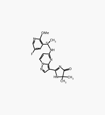 COc1ncc(F)cc1[C@@H](C)Nc1ccn2ncc(C3=NC(=O)C(C)(C)N3)c2n1